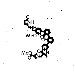 COC(=O)C1CN(Cc2c(C)nc3cc(-c4cccc(-c5cccc(-c6ccc(CNC[C@H]7CCC(=O)N7)c(OC)n6)c5Cl)c4Cl)ccn3c2=O)C1